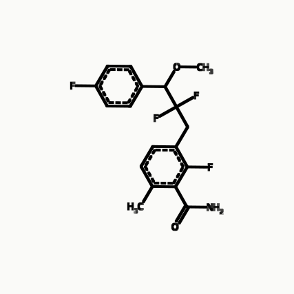 COC(c1ccc(F)cc1)C(F)(F)Cc1ccc(C)c(C(N)=O)c1F